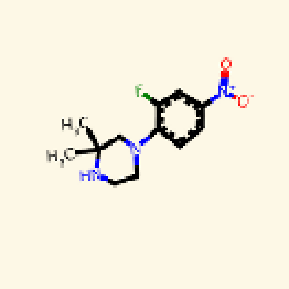 CC1(C)CN(c2ccc([N+](=O)[O-])cc2F)CCN1